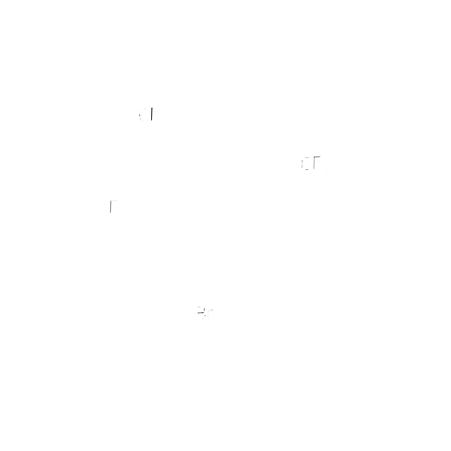 Fc1c(Cl)cc(C(F)(F)F)cc1CBr